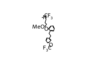 COC(CCCN(C)C(F)(F)F)Oc1ccccc1CCc1cccc(OC(F)(F)F)c1